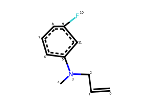 C=CCN(C)c1cccc(F)c1